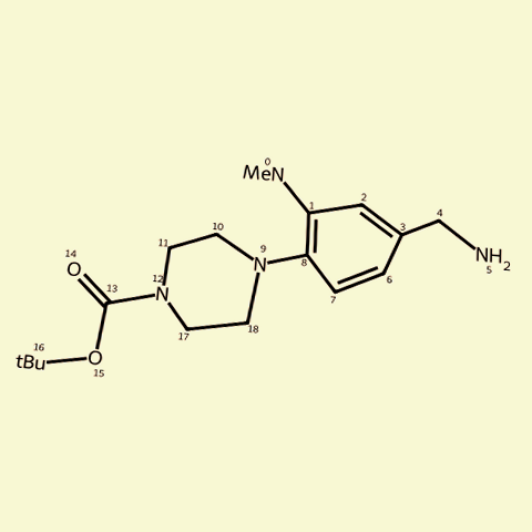 CNc1cc(CN)ccc1N1CCN(C(=O)OC(C)(C)C)CC1